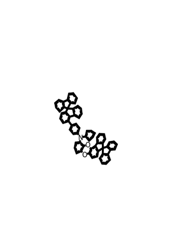 c1ccc(N(c2ccc(-c3cccc4c3-c3ccccc3C43c4ccccc4-c4ccccc43)cc2)c2cccc3c2Oc2c(ccc4c2-c2ccccc2C42c4ccccc4-c4ccccc42)O3)cc1